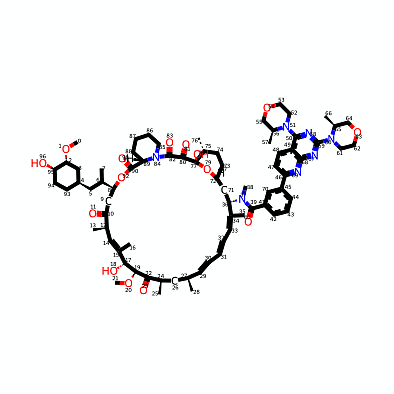 CO[C@@H]1C[C@@H](CC(C)[C@@H]2CC(=O)[C@H](C)/C=C(\C)[C@@H](O)[C@@H](OC)C(=O)[C@H](C)C[C@H](C)/C=C/C=C/C=C(/C)[C@@H](N(C)C(=O)c3cccc(-c4ccc5c(N6CCOC[C@@H]6C)nc(N6CCOC[C@@H]6C)nc5n4)c3)C[C@@H]3CC[C@@H](C)[C@@](O)(O3)C(=O)C(=O)N3CCCC[C@H]3C(=O)O2)CC[C@H]1O